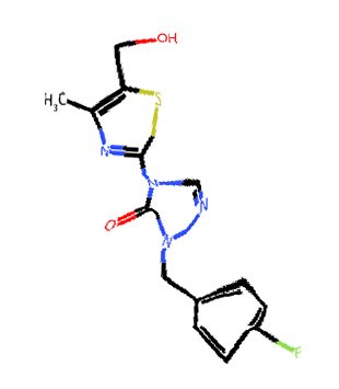 Cc1nc(-n2cnn(Cc3ccc(F)cc3)c2=O)sc1CO